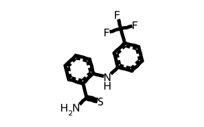 NC(=S)c1ccccc1Nc1cccc(C(F)(F)F)c1